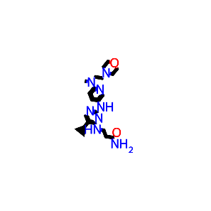 CN(CCN1CCOCC1)c1ccc(Nc2ncc(C3CC3)c(NCCC(N)=O)n2)cn1